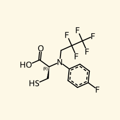 O=C(O)[C@H](CS)N(CC(F)(F)C(F)(F)F)c1ccc(F)cc1